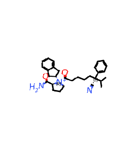 CC(C)[C@@](C#N)(CCCCC(=O)[N@@+]1(C2Cc3ccccc3C2)CCCC1C(N)=O)c1ccccc1